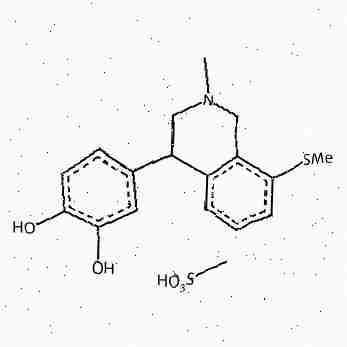 CS(=O)(=O)O.CSc1cccc2c1CN(C)CC2c1ccc(O)c(O)c1